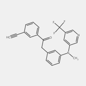 C#Cc1cccc(C(=O)Cc2cccc(N(C)c3cncc(C(F)(F)F)c3)c2)c1